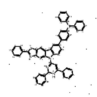 C1=C(c2ccccc2)NC(c2ccccc2)N=C1n1c2ccc(-c3ccc(N(c4ccccc4)c4ccccc4)cc3)cc2c2cc3sc(-c4ccccc4)nc3cc21